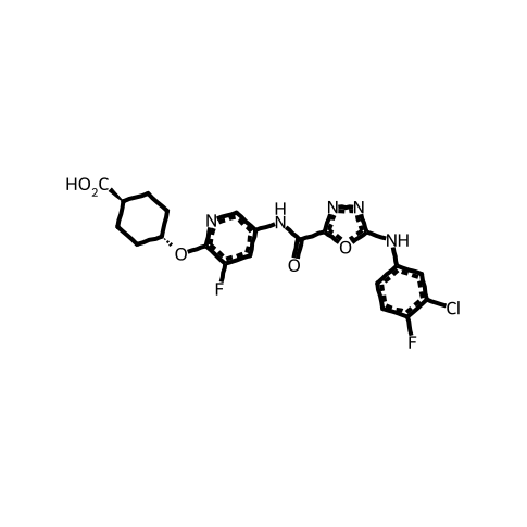 O=C(Nc1cnc(O[C@H]2CC[C@H](C(=O)O)CC2)c(F)c1)c1nnc(Nc2ccc(F)c(Cl)c2)o1